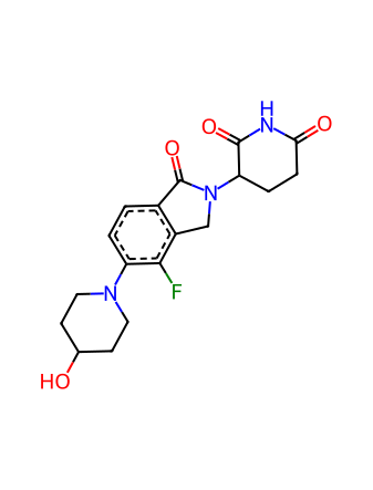 O=C1CCC(N2Cc3c(ccc(N4CCC(O)CC4)c3F)C2=O)C(=O)N1